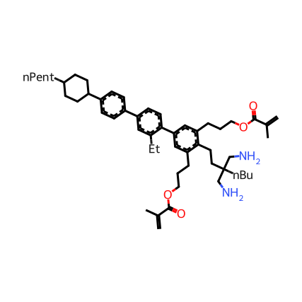 C=C(C)C(=O)OCCCc1cc(-c2ccc(-c3ccc(C4CCC(CCCCC)CC4)cc3)cc2CC)cc(CCCOC(=O)C(=C)C)c1CCC(CN)(CN)CCCC